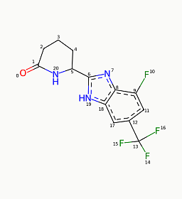 O=C1CCCC(c2nc3c(F)cc(C(F)(F)F)cc3[nH]2)N1